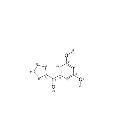 COc1cc(OC)cc(C(=O)C2CCCC2)c1